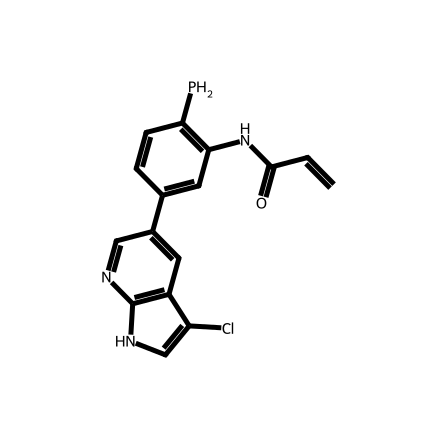 C=CC(=O)Nc1cc(-c2cnc3[nH]cc(Cl)c3c2)ccc1P